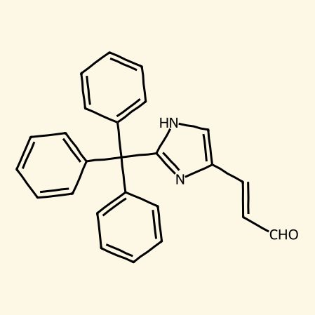 O=CC=Cc1c[nH]c(C(c2ccccc2)(c2ccccc2)c2ccccc2)n1